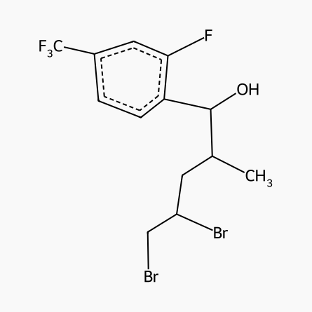 CC(CC(Br)CBr)C(O)c1ccc(C(F)(F)F)cc1F